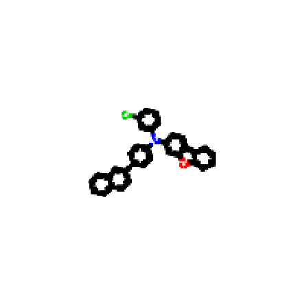 Clc1cccc(N(c2ccc(-c3ccc4ccccc4c3)cc2)c2ccc3c(c2)oc2ccccc23)c1